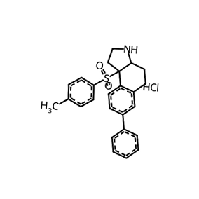 Cc1ccc(S(=O)(=O)C23CCNC2CCc2cc(-c4ccccc4)ccc23)cc1.Cl